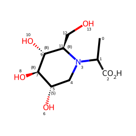 CC(C(=O)O)N1C[C@H](O)[C@@H](O)[C@H](O)[C@H]1CO